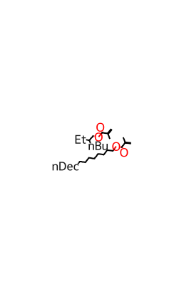 C=C(C)C(=O)OCC(CC)CCCC.C=C(C)C(=O)OCCCCCCCCCCCCCCCCCC